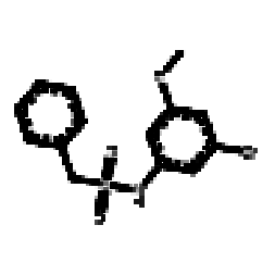 COc1cc(Br)cc(NS(=O)(=O)Cc2ccccc2)c1